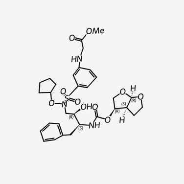 COC(=O)CNc1cccc(S(=O)(=O)N(C[C@@H](O)[C@H](Cc2ccccc2)NC(=O)O[C@H]2CO[C@H]3OCC[C@H]32)OC2CCCC2)c1